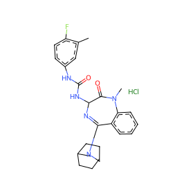 Cc1cc(NC(=O)NC2N=C(N3CC4CCC(CC4)C3)c3ccccc3N(C)C2=O)ccc1F.Cl